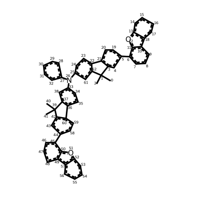 CC1(C)c2cc(-c3cccc4c3oc3ccccc34)ccc2-c2ccc(N(c3ccccc3)c3ccc4c(c3)C(C)(C)c3cc(-c5cccc6c5oc5ccccc56)ccc3-4)cc21